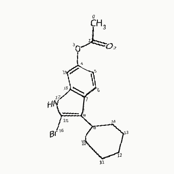 CC(=O)Oc1ccc2c(C3CCCCC3)c(Br)[nH]c2c1